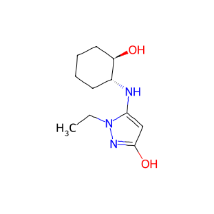 CCn1nc(O)cc1N[C@@H]1CCCC[C@H]1O